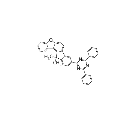 CC1(C)c2ccc(-c3nc(-c4ccccc4)nc(-c4ccccc4)n3)cc2-c2ccc3oc4ccccc4c3c21